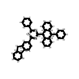 c1ccc(-c2nc(-c3ccc4c(c3)Cc3ccccc3-4)nc(-c3c4ccccc4c(-c4ccccc4)c4ccccc34)n2)cc1